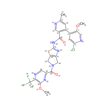 COc1cnc(Cl)cc1-c1cc(C)ncc1C(=O)Nc1nc2c(s1)CN(C(=O)c1cnc(C(F)(F)F)c(OC)n1)C2